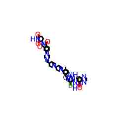 COc1cc(N2CCC(N3CCC(CN4CCN(c5ccc6c(c5)C(=O)N(C5CCC(=O)NC5=O)C6=O)CC4)CC3)CC2)c(C)cc1Nc1ncc(Br)c(Nc2ccc3nccnc3c2P(C)(C)=O)n1